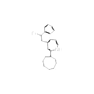 CCC(CC1=CC=CNC(C2CCCCCCC2)=C1)c1ccccc1